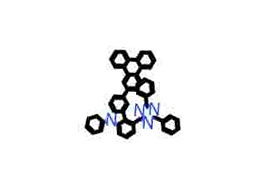 C1=CCCC(n2c3ccc(-c4ccc5c6ccccc6c6ccccc6c5c4)cc3c3c(-c4nc(-c5ccccc5)nc(-c5ccccc5)n4)cccc32)=C1